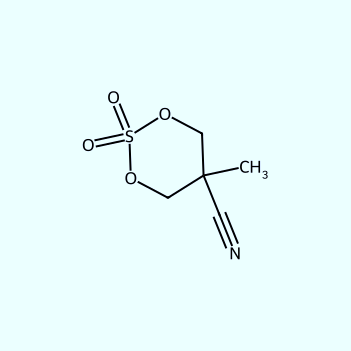 CC1(C#N)COS(=O)(=O)OC1